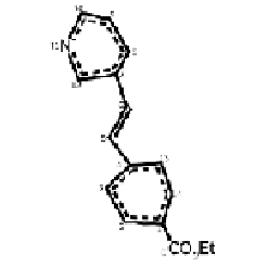 CCOC(=O)c1ccc(C=Cc2cccnc2)cc1